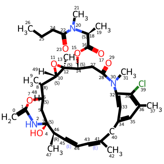 C=C1N[C@]2(O)C[C@H](O1)[C@@H](C)[C@@H]1O[C@@]1(C)[C@@H](OC(=O)[C@H](C)N(C)C(=O)CCC)CC(=O)N(C)c1cc(cc(C)c1Cl)C/C(C)=C/C=C/[C@H]2C